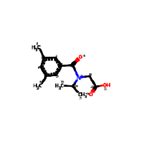 Cc1cc(C)cc(C(=O)N(CC(=O)O)C(C)C)c1